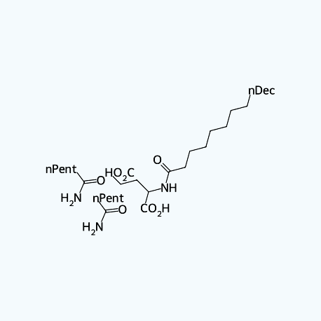 CCCCCC(N)=O.CCCCCC(N)=O.CCCCCCCCCCCCCCCCCC(=O)NC(CCC(=O)O)C(=O)O